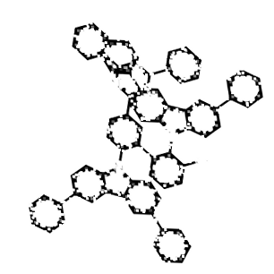 FC(F)(F)c1cccc(-c2cc(-c3nc(-c4ccccc4)nc(-c4ccccc4)n3)ccc2-n2c3ccc(-c4ccccc4)cc3c3cc(-c4ccccc4)ccc32)c1-n1c2ccc(-c3ccccc3)cc2c2cc(-c3ccccc3)ccc21